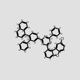 Clc1ccc2oc3cccc(-c4nc(-c5ccccc5)nc(-c5ccc(-c6cccc7ccccc67)c(-c6ccccc6)c5)n4)c3c2c1